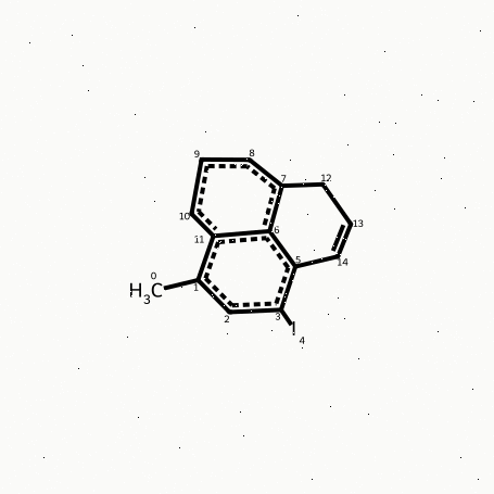 Cc1cc(I)c2c3c(cccc13)CC=C2